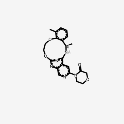 Cc1cccc2c1OCCOc1nc(c3cc(N4CCOCC4=O)ncc3n1)N[C@@H]2C